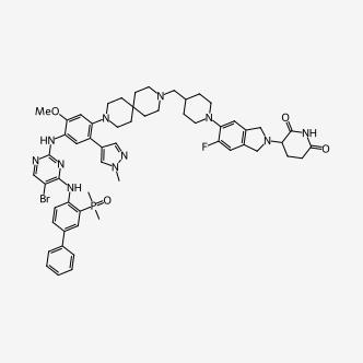 COc1cc(N2CCC3(CCN(CC4CCN(c5cc6c(cc5F)CN(C5CCC(=O)NC5=O)C6)CC4)CC3)CC2)c(-c2cnn(C)c2)cc1Nc1ncc(Br)c(Nc2ccc(-c3ccccc3)cc2P(C)(C)=O)n1